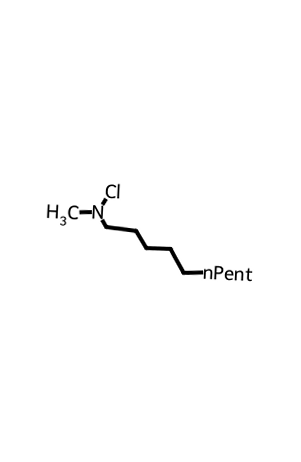 CCCCCCCCCCN(C)Cl